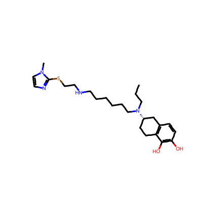 CCCN(CCCCCCNCCSc1nccn1C)[C@H]1CCc2c(ccc(O)c2O)C1